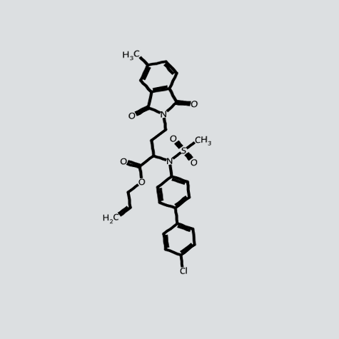 C=CCOC(=O)C(CCN1C(=O)c2ccc(C)cc2C1=O)N(c1ccc(-c2ccc(Cl)cc2)cc1)S(C)(=O)=O